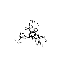 CCOC(=O)c1cn(Cc2cccc(C)n2)c2nc(C)c(C)cc2c1=O